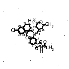 CC(=O)NS(=O)(=O)c1ccc2c(c1)N(CC1C[C@@H](C)O[C@@H](C)C1)CC1(CCCc3cc(Cl)ccc31)CO2